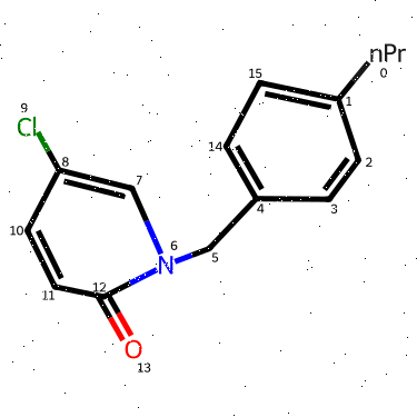 CCCc1ccc(Cn2cc(Cl)ccc2=O)cc1